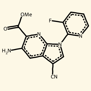 COC(=O)c1nc2c(cc1N)c(C#N)cn2-c1ncccc1F